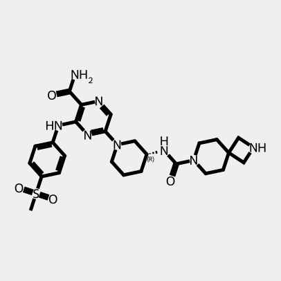 CS(=O)(=O)c1ccc(Nc2nc(N3CCC[C@@H](NC(=O)N4CCC5(CC4)CNC5)C3)cnc2C(N)=O)cc1